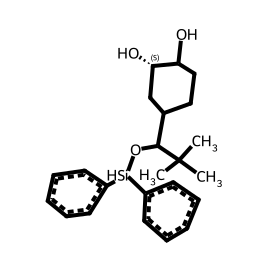 CC(C)(C)C(O[SiH](c1ccccc1)c1ccccc1)C1CCC(O)[C@@H](O)C1